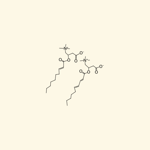 CCCCCC=CC=CC(=O)OC(CC(=O)[O-])C[N+](C)(C)C.CCCCCCCC=CC(=O)OC(CC(=O)[O-])C[N+](C)(C)C